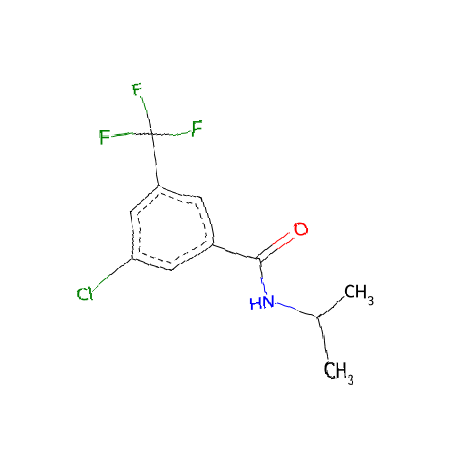 CC(C)NC(=O)c1cc(Cl)cc(C(F)(F)F)c1